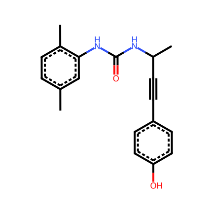 Cc1ccc(C)c(NC(=O)NC(C)C#Cc2ccc(O)cc2)c1